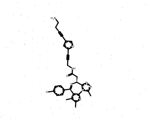 Cc1sc2c(c1C)C(c1ccc(Cl)cc1)=N[C@@H](CC(=O)NCC#Cc1cc(C#CCCN)co1)c1nnc(C)n1-2